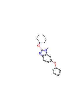 Cn1c(OC2CCCCC2)nc2ccc(Oc3ccccc3)cc21